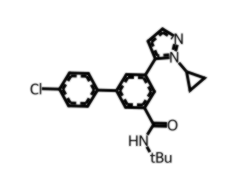 CC(C)(C)NC(=O)c1cc(-c2ccc(Cl)cc2)cc(-c2ccnn2C2CC2)c1